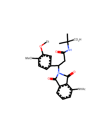 CCOc1cc(C(CC(=O)NC(C)(C)C(=O)O)N2C(=O)c3cccc(NC(C)=O)c3C2=O)ccc1OC